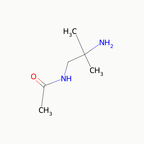 CC(=O)NCC(C)(C)N